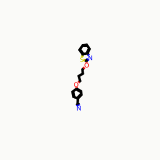 N#Cc1ccc(OCCCCOc2nc3ccccc3s2)cc1